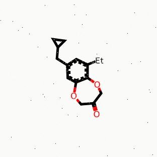 CCc1cc(CC2CC2)cc2c1OCC(=O)CO2